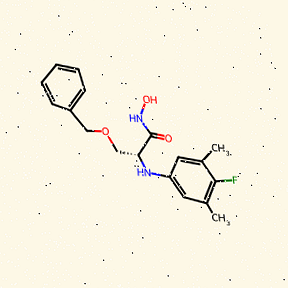 Cc1cc(N[C@H](COCc2ccccc2)C(=O)NO)cc(C)c1F